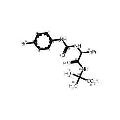 CCC[C@H](NC(=O)Nc1ccc(Br)cc1)C(=O)NC(C)(C)C(=O)O